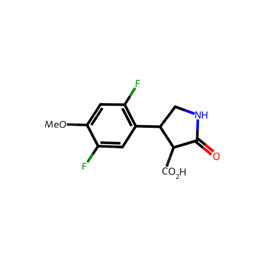 COc1cc(F)c(C2CNC(=O)C2C(=O)O)cc1F